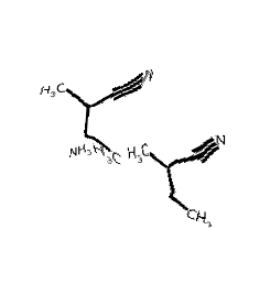 CCC(C)C#N.CCC(C)C#N.N